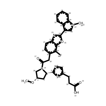 CO[C@H]1C[C@@H](c2ncc(CCC(=O)O)s2)N(C(=O)Cc2ccc3nc(-c4cn(C)c5ccccc45)oc3c2F)C1